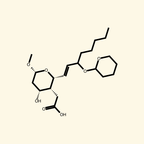 CCCCCC(C=C[C@H]1O[C@@H](OC)C[C@@H](O)[C@H]1CC(=O)O)OC1CCCCO1